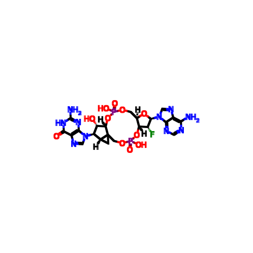 Nc1nc2c(ncn2[C@H]2[C@H](O)[C@@H]3OP(=O)(O)OC[C@H]4O[C@@H](n5cnc6c(N)ncnc65)[C@H](F)[C@@H]4OP(=O)(O)OCC34C[C@H]24)c(=O)[nH]1